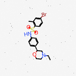 CCN1CCOC(c2ccc(NS(=O)(=O)c3ccc(Br)cc3C)cc2)C1